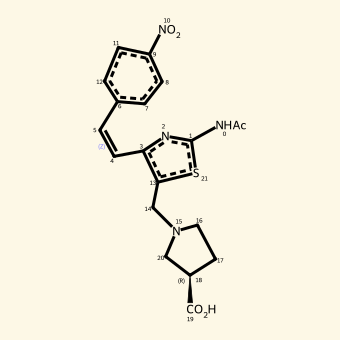 CC(=O)Nc1nc(/C=C\c2ccc([N+](=O)[O-])cc2)c(CN2CC[C@@H](C(=O)O)C2)s1